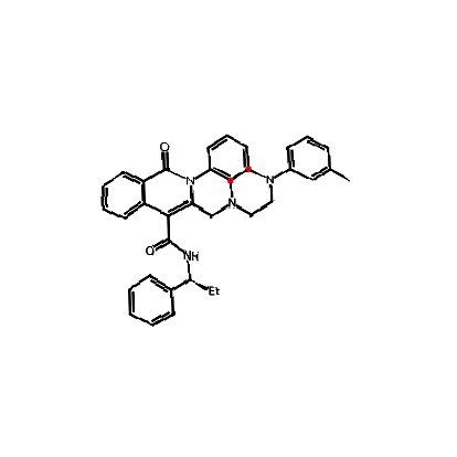 CC[C@H](NC(=O)c1c(CN2CCN(c3cccc(C)c3)CC2)n(-c2ccccc2)c(=O)c2ccccc12)c1ccccc1